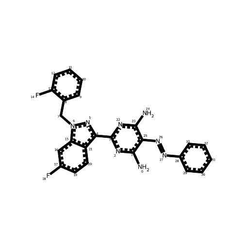 Nc1nc(-c2nn(Cc3ccccc3F)c3cc(F)ccc23)nc(N)c1N=Nc1ccccc1